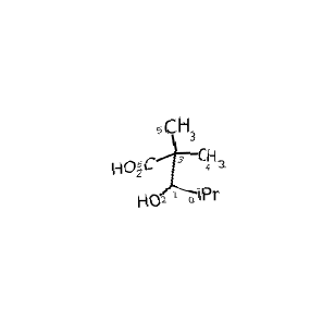 CC(C)C(O)C(C)(C)C(=O)O